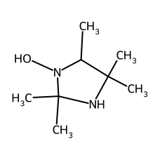 CC1N(O)C(C)(C)NC1(C)C